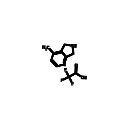 Cc1ccnc2c1CNC2.O=C(O)C(F)(F)F